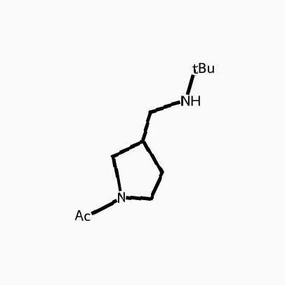 CC(=O)N1CCC(CNC(C)(C)C)C1